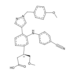 COC[C@@H](CC(=O)O)c1ccc(-c2cnn(Cc3ccc(OC)cc3)c2)c(Nc2ccc(C#N)cc2)c1